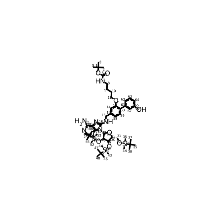 CC(C)(C)OC(=O)NCCCCOc1cc(CNc2nc3c(N)ncnc3n2[C@@H]2O[C@H](CO[Si](C)(C)C(C)(C)C)[C@@H](O[Si](C)(C)C(C)(C)C)[C@H]2O[Si](C)(C)C(C)(C)C)ccc1-c1cccc(O)c1